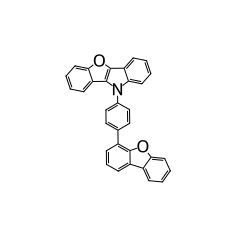 c1ccc2c(c1)oc1c(-c3ccc(-n4c5ccccc5c5oc6ccccc6c54)cc3)cccc12